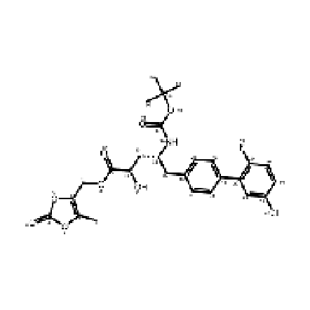 Cc1oc(=O)oc1COC(=O)[C@H](O)C[C@@H](Cc1ccc(-c2cc(Cl)ccc2F)cc1)NC(=O)OC(C)(C)C